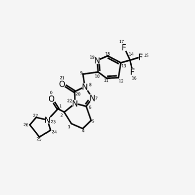 O=C(C1CCCc2nn(Cc3ccc(C(F)(F)F)cn3)c(=O)n21)N1CCCC1